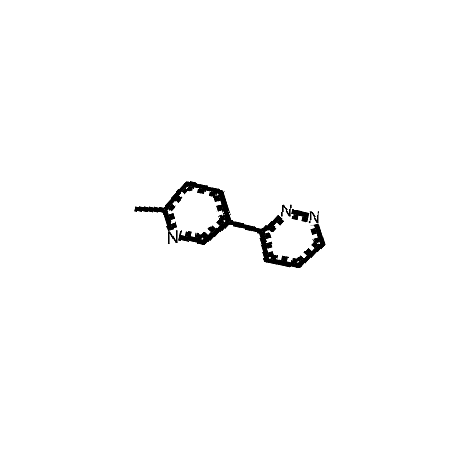 Cc1ccc(-c2cccnn2)cn1